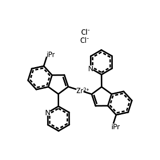 CC(C)c1cccc2c1C=[C]([Zr+2][C]1=Cc3c(C(C)C)cccc3C1c1ccccn1)C2c1ccccn1.[Cl-].[Cl-]